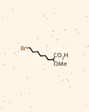 COC(CCCCCCBr)C(=O)O